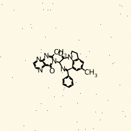 Cc1cc2c3c(c1)C(c1ccccc1)=NC(n1c(C)nc4nccnc4c1=O)C(=O)N3CC2